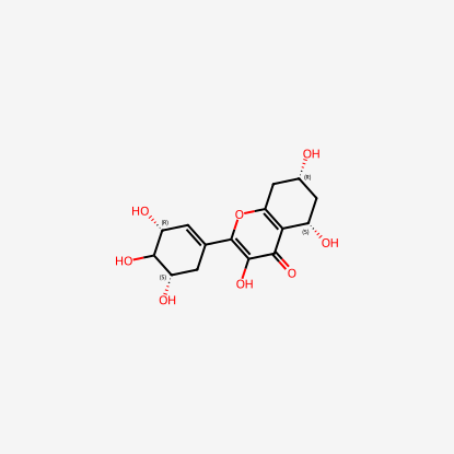 O=c1c(O)c(C2=C[C@@H](O)C(O)[C@@H](O)C2)oc2c1[C@@H](O)C[C@@H](O)C2